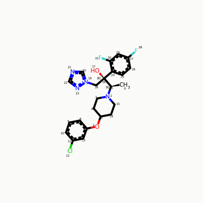 C[C@@H](N1CCC(Oc2cccc(Cl)c2)CC1)[C@](O)(Cn1cncn1)c1ccc(F)cc1F